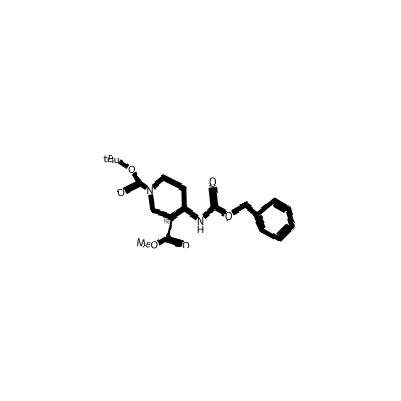 COC(=O)[C@H]1CN(C(=O)OC(C)(C)C)CCC1NC(=O)OCc1ccccc1